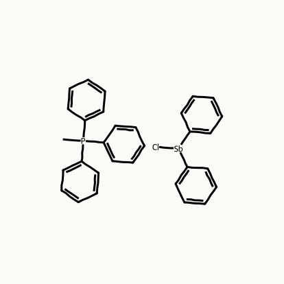 C[P](c1ccccc1)(c1ccccc1)c1ccccc1.[Cl][Sb]([c]1ccccc1)[c]1ccccc1